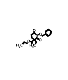 C=CCOC(=O)C1(CC)CCC(=O)N(OCc2ccccc2)C1=O